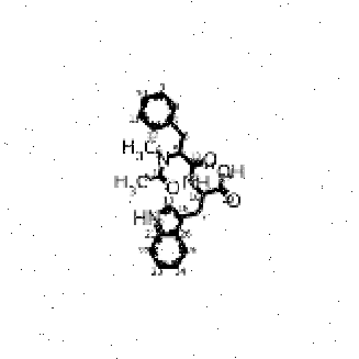 CC(=O)N(C)C(Cc1ccccc1)C(=O)NC(Cc1c[nH]c2ccccc12)C(=O)O